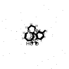 Cc1ccc(S(=O)(=O)O)c(C23CCCC=CN2CCCN3)c1